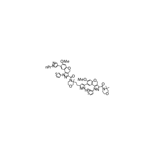 CCCn1cc(-c2cc3c(cc2OC)OCc2c(C(=O)N4CCOCC4(C)CCc4cc(-c5cc6c(cc5OC)OCc5c(C(=O)N7CCOCC7(C)C)nn(-c7ccsc7)c5-6)n(CCC)n4)nn(-c4ccsc4)c2-3)cn1